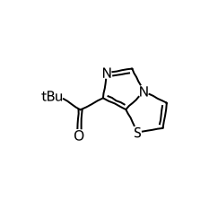 CC(C)(C)C(=O)c1ncn2ccsc12